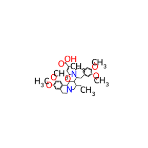 CCC1CN2CCc3cc(OC)c(OC)cc3C2CC1C1Cc2cc(OC)c(OC)cc2CCN1C(=O)/C=C(\C)C(=O)O